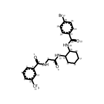 O=C(CNC(=O)c1cccc(C(F)(F)F)c1)NC1CCCCC1NC(=O)c1ccc(Br)cc1